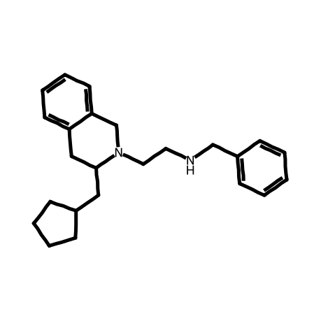 c1ccc(CNCCN2Cc3ccccc3CC2CC2CCCC2)cc1